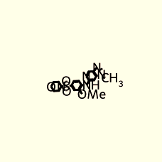 COc1cc(S(=O)(=O)N2CCOCC2)ccc1Nc1cc2c(cn1)ncn2C